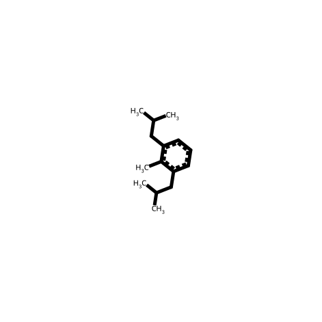 Cc1c(CC(C)C)cccc1CC(C)C